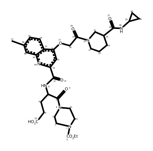 CCOC(=O)N1CCN(C(=O)C(CCC(=O)O)NC(=O)c2cc(OCC(=O)N3CCCC(C(=O)NC4CC4)C3)c3ccc(C)cc3n2)CC1